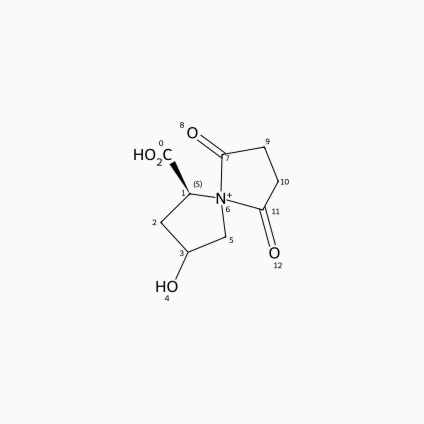 O=C(O)[C@@H]1CC(O)C[N+]12C(=O)CCC2=O